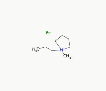 CCC[N+]1(C)CCCC1.[Br-]